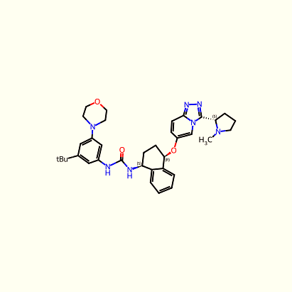 CN1CCC[C@H]1c1nnc2ccc(O[C@@H]3CC[C@H](NC(=O)Nc4cc(N5CCOCC5)cc(C(C)(C)C)c4)c4ccccc43)cn12